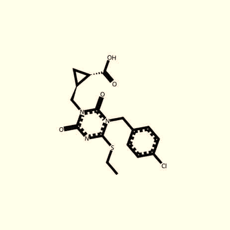 CCSc1nc(=O)n(C[C@H]2C[C@@H]2C(=O)O)c(=O)n1Cc1ccc(Cl)cc1